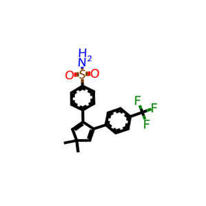 CC1(C)C=C(c2ccc(C(F)(F)F)cc2)C(c2ccc(S(N)(=O)=O)cc2)=C1